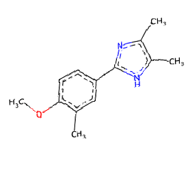 COc1ccc(-c2nc(C)c(C)[nH]2)cc1C